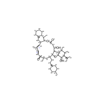 CCC1OC(=O)CC(O)C(C)C(OC2OC(C)C(C)C(N(C)C)C2O)C(CCN2CCC(C)CC2)CC(C)C(=O)/C=C/C(C)=C/C1CN1CCCCC1